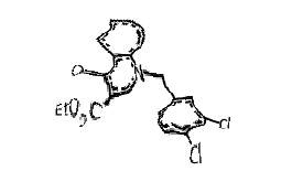 CCOC(=O)c1cn(Cc2ccc(Cl)c(Cl)c2)c2ccccc2c1=O